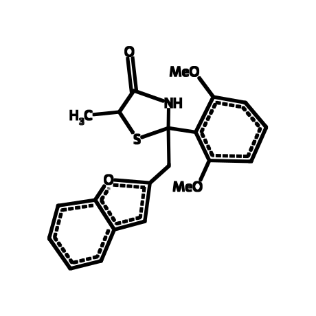 COc1cccc(OC)c1C1(Cc2cc3ccccc3o2)NC(=O)C(C)S1